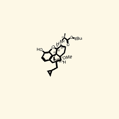 CO[C@@]12CC[C@@H](N[C@@H](C)C(=O)OC(C)(C)C)[C@@H]3Oc4c(O)ccc5c4[C@@]31CCN(CC1CC1)[C@@H]2C5